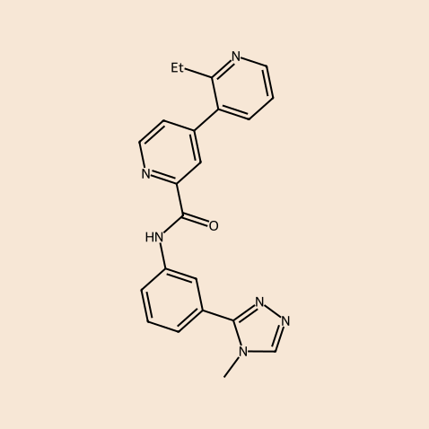 CCc1ncccc1-c1ccnc(C(=O)Nc2cccc(-c3nncn3C)c2)c1